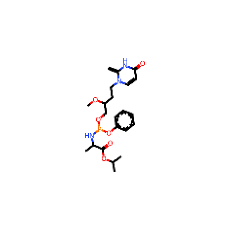 C=C1NC(=O)C=CN1CCC(COP(NC(C)C(=O)OC(C)C)Oc1ccccc1)OC